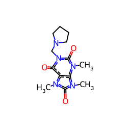 Cn1c(=O)n(C)c2c1c(=O)n(CN1CCCC1)c(=O)n2C